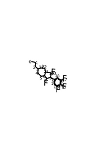 CCCC1CCC2C(F)C(c3cc(F)c(F)c(F)c3)C(F)C2CC1